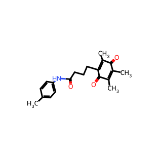 CC1=C(C)C(=O)C(CCCC(=O)Nc2ccc(C)cc2)=C(C)C1=O